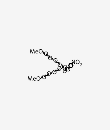 COCCOCCOCCOCCOCC(COCCOCCOCCOCCOC)OC(=O)Oc1ccc([N+](=O)[O-])cc1